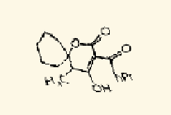 CCCC(=O)C1=C(O)C(C)C2(CCCCC2)OC1=O